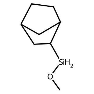 CO[SiH2]C1CC2CCC1C2